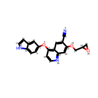 N#Cc1cc2c(Oc3ccc4[nH]ccc4c3)ccnc2cc1OCC1CO1